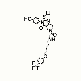 O=C(CNCCCCCOc1ccc(C(F)(F)F)cc1)N1CCc2nc(SC3CCC3)n(-c3ccc(O)cc3)c(=O)c2C1